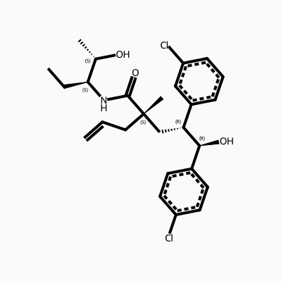 C=CC[C@@](C)(C[C@H](c1cccc(Cl)c1)[C@@H](O)c1ccc(Cl)cc1)C(=O)N[C@@H](CC)[C@H](C)O